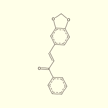 O=C(/C=C/c1ccc2c(c1)OCO2)c1ccccc1